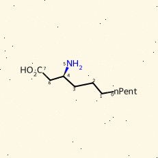 CCCCCCCC[C@H](N)CC(=O)O